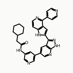 O=C(CC1CCCCC1)Nc1cncc(-c2cnc3[nH]nc(-c4cc5c(-c6ccncc6)nccc5[nH]4)c3c2)c1